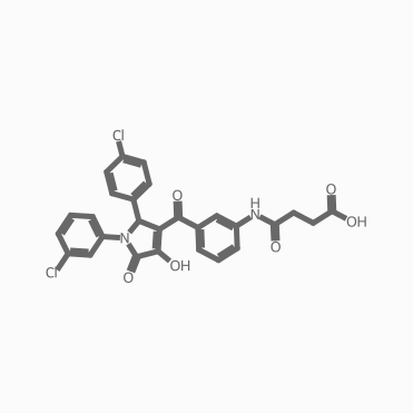 O=C(O)CCC(=O)Nc1cccc(C(=O)C2=C(O)C(=O)N(c3cccc(Cl)c3)C2c2ccc(Cl)cc2)c1